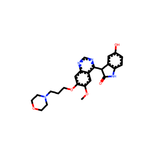 COc1cc2c(C3C(=O)Nc4ccc(O)cc43)ncnc2cc1OCCCN1CCOCC1